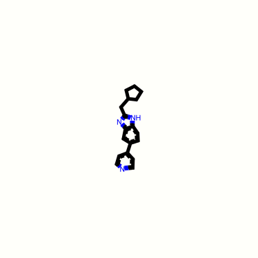 c1cc(-c2ccc3[nH]c(CC4CCCC4)nc3c2)ccn1